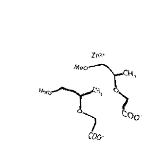 COCC(C)OCC(=O)[O-].COCC(C)OCC(=O)[O-].[Zn+2]